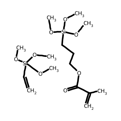 C=C(C)C(=O)OCCC[Si](OC)(OC)OC.C=C[Si](OC)(OC)OC